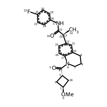 CO[C@H]1C[C@H](C(=O)N2CCCc3cc([C@H](C)C(=O)Nc4ccc(F)cc4)ccc32)C1